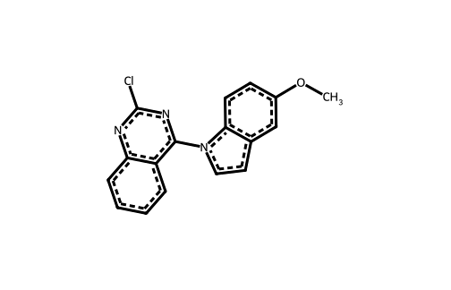 COc1ccc2c(ccn2-c2nc(Cl)nc3ccccc23)c1